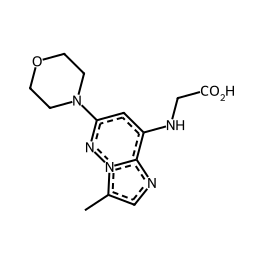 Cc1cnc2c(NCC(=O)O)cc(N3CCOCC3)nn12